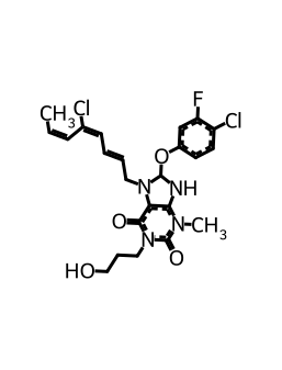 C\C=C/C(Cl)=C\C=C\CN1c2c(n(C)c(=O)n(CCCO)c2=O)NC1Oc1ccc(Cl)c(F)c1